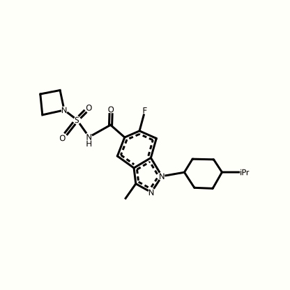 Cc1nn(C2CCC(C(C)C)CC2)c2cc(F)c(C(=O)NS(=O)(=O)N3CCC3)cc12